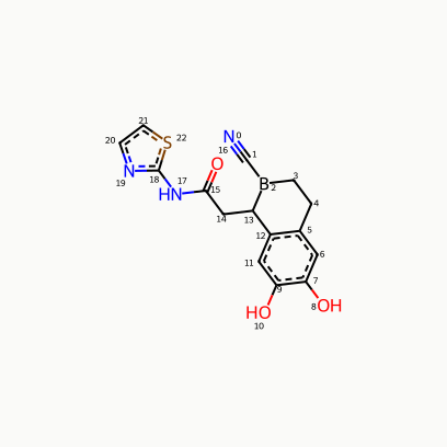 N#CB1CCc2cc(O)c(O)cc2C1CC(=O)Nc1nccs1